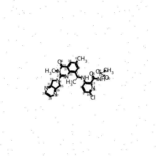 Cc1cc([C@@H](C)Nc2ccc(Cl)nc2C(=O)NS(C)(=O)=O)c2nc(N3Cc4nccnc4C3)n(C)c(=O)c2c1